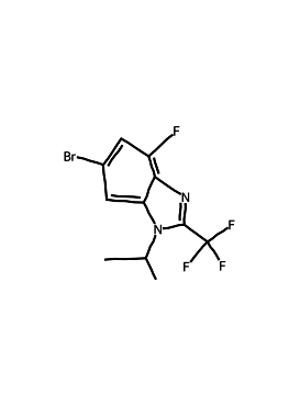 CC(C)n1c(C(F)(F)F)nc2c(F)cc(Br)cc21